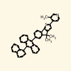 Cc1cnccc1-c1cc2c(s1)-c1ccc(-c3c4ccccc4c(-c4cccc5ccccc45)c4ccccc34)cc1C2(C)C